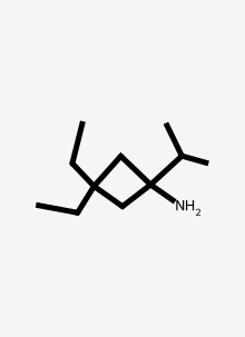 CCC1(CC)CC(N)(C(C)C)C1